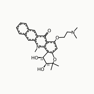 CN(C)CCOc1cc2c(c3c1c(=O)c1cc4ccccc4cc1n3C)[C@H](O)[C@H](O)C(C)(C)O2